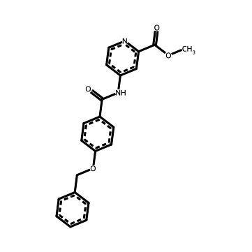 COC(=O)c1cc(NC(=O)c2ccc(OCc3ccccc3)cc2)ccn1